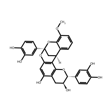 COc1cccc2c1O[C@@]1(c3ccc(O)c(O)c3)C[C@@H]2c2c(cc(O)c3c2O[C@H](c2ccc(O)c(O)c2)[C@@H](O)C3)O1